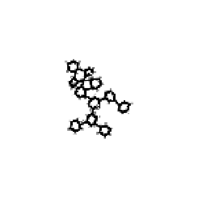 c1ccc(-c2cccc(-c3cc(-c4cccc5c4-c4ccccc4C54c5ccccc5-c5ccccc5-c5ccccc54)nc(-c4cc(-c5ccccc5)cc(-c5ccccc5)c4)n3)c2)cc1